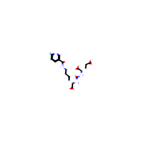 CN(C(=O)N[C@@H](CCC(=O)O)C(=O)O)[C@@H](CCCCNC(=O)c1ccc(F)nc1)C(=O)O